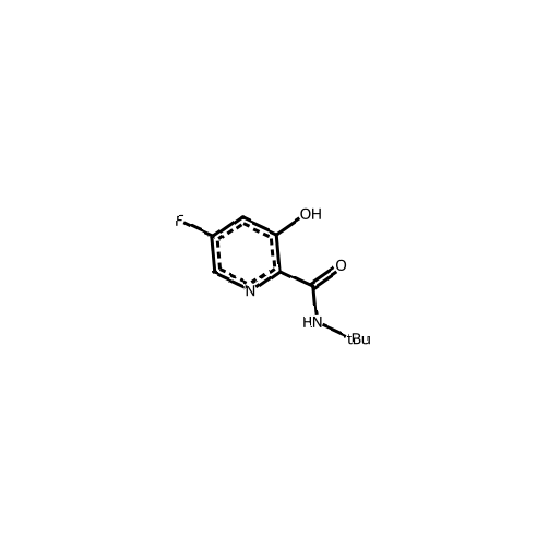 CC(C)(C)NC(=O)c1ncc(F)cc1O